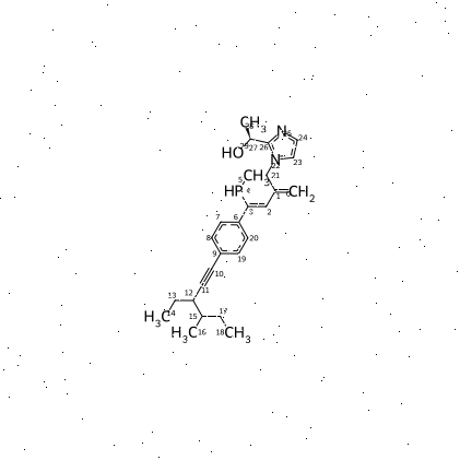 C=C(/C=C(\PC)c1ccc(C#CC(CC)C(C)CC)cc1)Cn1ccnc1[C@H](C)O